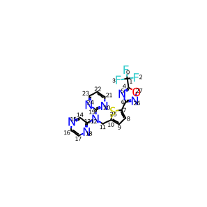 FC(F)(F)c1nc(-c2ccc(CN(c3cnccn3)c3ncccn3)s2)no1